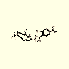 COC(=O)c1ccc(-c2noc(-c3cn4cc(C(F)(F)F)cc(Cl)c4n3)n2)c(Cl)c1